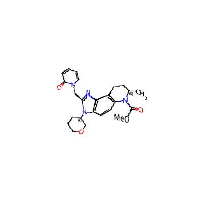 COC(=O)N1c2ccc3c(nc(Cn4ccccc4=O)n3[C@@H]3CCCOC3)c2CC[C@@H]1C